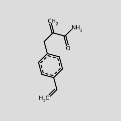 C=Cc1ccc(CC(=C)C(N)=O)cc1